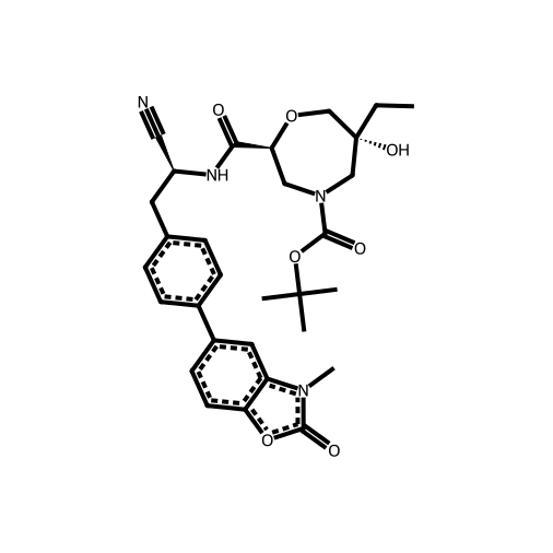 CC[C@]1(O)CO[C@H](C(=O)N[C@H](C#N)Cc2ccc(-c3ccc4oc(=O)n(C)c4c3)cc2)CN(C(=O)OC(C)(C)C)C1